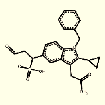 NC(=O)Cc1c(C2CC2)n(Cc2ccccc2)c2ccc(C(CC=O)P(=O)(O)O)cc12